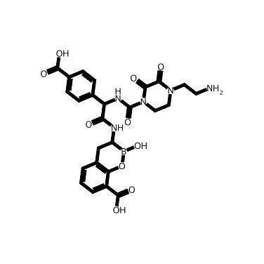 NCCN1CCN(C(=O)NC(C(=O)NC2Cc3cccc(C(=O)O)c3OB2O)c2ccc(C(=O)O)cc2)C(=O)C1=O